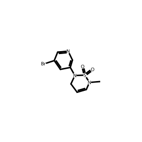 CN1C=CCN(c2cncc(Br)c2)S1(=O)=O